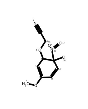 COC1=CC(OCC#N)C(Cl)([N+](=O)[O-])C=C1